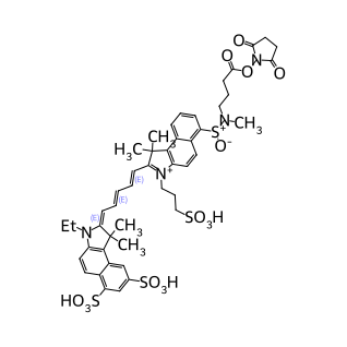 CCN1/C(=C/C=C/C=C/C2=[N+](CCCS(=O)(=O)O)c3ccc4c([S+]([O-])N(C)CCCC(=O)ON5C(=O)CCC5=O)cccc4c3C2(C)C)C(C)(C)c2c1ccc1c(S(=O)(=O)O)cc(S(=O)(=O)O)cc21